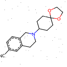 N#Cc1ccc2c(c1)CCN(C1CCC3(CC1)OCCO3)C2